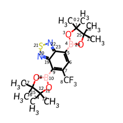 CC1(C)OB(c2cc(C(F)(F)F)c(B3OC(C)(C)C(C)(C)O3)c3nsnc23)OC1(C)C